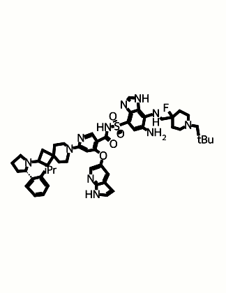 CC(C)c1ccccc1[C@@H]1CCCN1C1CC2(CCN(c3cc(Oc4cnc5[nH]ccc5c4)c(C(=O)NS(=O)(=O)c4cc(N)c(NCC5(F)CCN(CC(C)(C)C)CC5)c5[nH]cnc45)cn3)CC2)C1